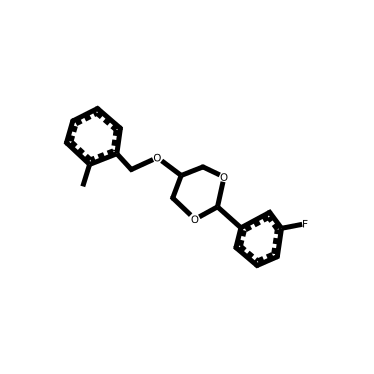 Cc1ccccc1COC1COC(c2cccc(F)c2)OC1